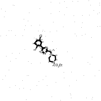 CCOC(=O)N1CCN([C@@H](C)c2noc(-c3cc(Cl)ccc3F)n2)CC1